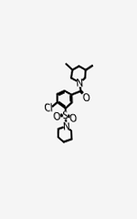 CC1CC(C)CN(C(=O)c2ccc(Cl)c(S(=O)(=O)N3CCCCC3)c2)C1